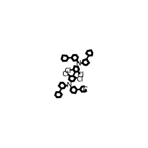 Clc1cc(N(c2cccc(-c3ccccc3)c2)c2cccc(-c3ccccc3)c2)cc(Cl)c1-c1c(Cl)cc(N(c2cccc(-c3ccccc3)c2)c2cccc(-c3ccccc3)c2)cc1Cl